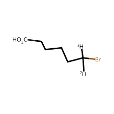 [2H]C([2H])(Br)CCCCC(=O)O